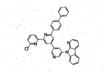 Clc1cccc(-c2cc(-c3cncc(-n4c5ccccc5c5cccnc54)c3)cc(-c3ccc(-c4ccccc4)cc3)n2)n1